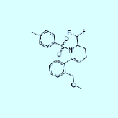 COCc1ccccc1C1=CCCC(C(F)F)N1S(=O)(=O)c1ccc(C)cc1